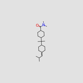 CC(C)C=C1CCC(C(C)(C)C2CCC(C(=O)N(C)C)CC2)CC1